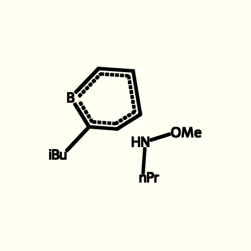 CCC(C)c1bcccc1.CCCNOC